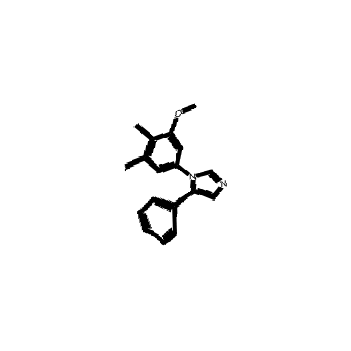 COc1cc(-n2cncc2-c2ccccc2)cc(C)c1C